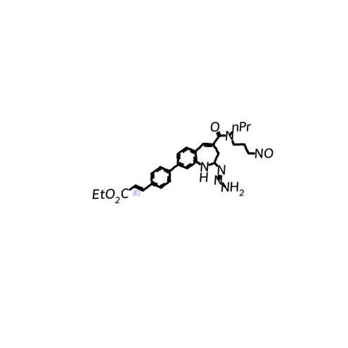 CCCN(CCCN=O)C(=O)C1=Cc2ccc(-c3ccc(/C=C/C(=O)OCC)cc3)cc2NC(N=NN)C1